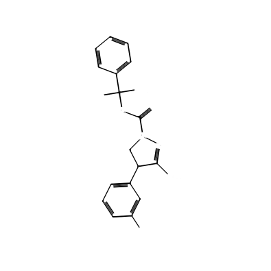 CCCCC1=NN(C(=O)NC(C)(C)c2ccccc2)CC1c1cccc(F)c1